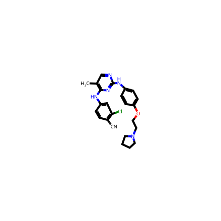 Cc1cnc(Nc2ccc(OCCN3CCCC3)cc2)nc1Nc1ccc(C#N)c(Cl)c1